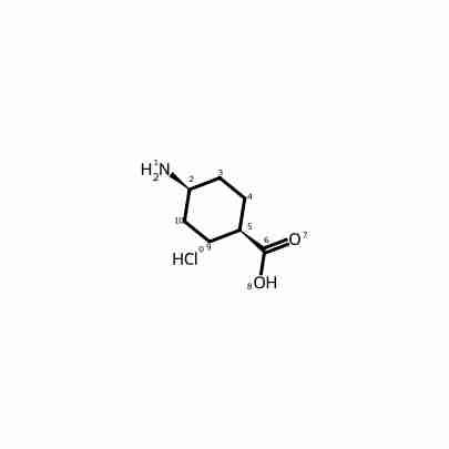 Cl.N[C@H]1CC[C@@H](C(=O)O)CC1